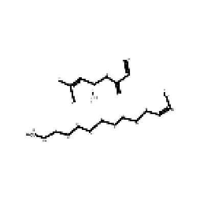 C=CC(=C)C[C@H](O)C=C(C)C.CC/C=C\CCCCCCCCCCOC(C)=O